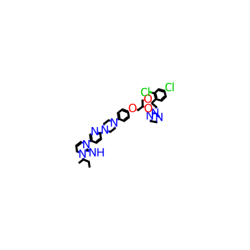 CCC(C)N1CC=CN(c2ccc(N3CCN(c4ccc(OCC5COC(Cn6nccn6)(c6ccc(Cl)cc6Cl)O5)cc4)CC3)nc2)C1=N